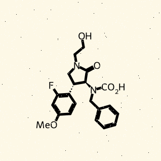 COc1ccc([C@@H]2CN(CCO)C(=O)[C@H]2N(Cc2ccccc2)C(=O)O)c(F)c1